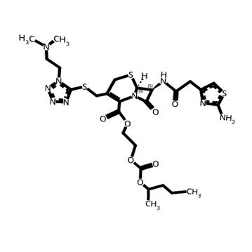 CCCC(C)OC(=O)OCCOC(=O)C1=C(CSc2nnnn2CCN(C)C)CS[C@H]2[C@@H](NC(=O)Cc3csc(N)n3)C(=O)N12